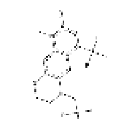 Cn1c(=O)cc(C(F)(F)F)c2cc3c(cc21)OCCN3CC(F)(F)F